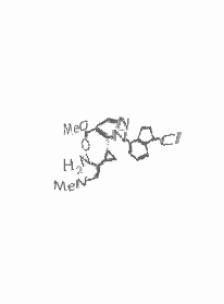 CN/C=C(\N)C1C[C@H]1c1c(C(=O)OC)cnn1-c1cccc2c1CCC2Cl